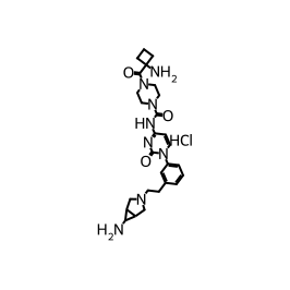 Cl.NC1C2CN(CCc3cccc(-n4ccc(NC(=O)N5CCN(C(=O)C6(N)CCC6)CC5)nc4=O)c3)CC12